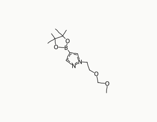 COCOCCn1cc(B2OC(C)(C)C(C)(C)O2)cn1